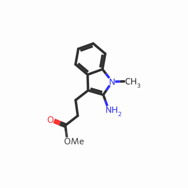 COC(=O)CCc1c(N)n(C)c2ccccc12